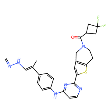 C=NN/C=C(\C)c1ccc(Nc2ccnc(-c3cc4c(s3)CCN(C(=O)C3CC(F)(F)C3)C4)n2)cc1